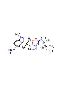 CN[C@@H](C(=O)N[C@H](C(=O)N(C)[C@H](/C=C(\C)C(=O)O)C(C)C)C(C)(C)C)C(C)(C)c1cn(C)c2ccc(CNI)cc12